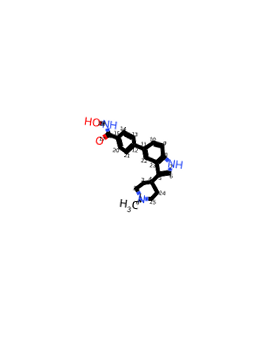 CN1CCC(c2c[nH]c3ccc(-c4ccc(C(=O)NO)cc4)cc23)CC1